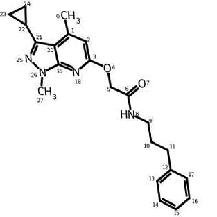 Cc1cc(OCC(=O)NCCCc2ccccc2)nc2c1c(C1CC1)nn2C